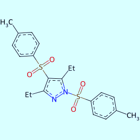 CCc1nn(S(=O)(=O)c2ccc(C)cc2)c(CC)c1S(=O)(=O)c1ccc(C)cc1